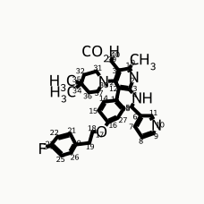 Cc1nc(NCc2cccnc2)c(-c2ccc(OCCc3ccc(F)cc3)cc2)c(N2CCC(C)(C)CC2)c1CC(=O)O